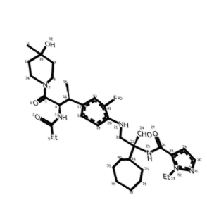 CCC(=O)N[C@@H](C(=O)N1CCC(C)(O)CC1)[C@@H](C)c1ccc(NC[C@](C=O)(NC(=O)c2ccnn2CC)C2CCCCCC2)c(F)c1